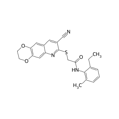 CCc1cccc(C)c1NC(=O)CSc1nc2cc3c(cc2cc1C#N)OCCO3